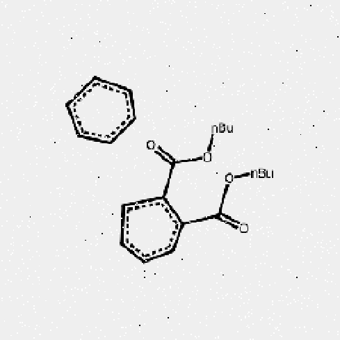 CCCCOC(=O)c1ccccc1C(=O)OCCCC.c1ccccc1